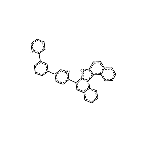 c1ccc(-c2cccc(-c3ccc(-c4cc5ccccc5c5c4oc4ccc6ccccc6c45)nc3)c2)nc1